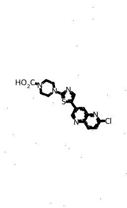 O=C(O)N1CCN(c2ncc(-c3cnc4ccc(Cl)nc4c3)s2)CC1